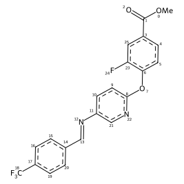 COC(=O)c1ccc(Oc2ccc(/N=C/c3ccc(C(F)(F)F)cc3)cn2)c(F)c1